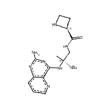 CCCC[C@](C)(CNC(=O)[C@@H]1CCN1)Nc1nc(N)nc2cccnc12